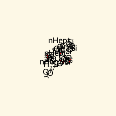 C=C(C)C(=O)OCCCC[SiH2]O[Si](C)(C)CCCC[Si](O[Si](C)(C)CC[Si](O[Si](C)(C)C)(O[Si](C)(C)C)O[Si](C)(C)CCCCCCC)(O[Si](C)(C)CC[Si](O[Si](C)(C)C)(O[Si](C)(C)C)O[Si](C)(C)CCCCCCC)O[Si](C)(C)CC[Si](O[Si](C)(C)C)(O[Si](C)(C)C)O[Si](C)(C)CCCCCCC